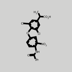 CC(C)C(=O)Nc1ccc(Oc2c(Cl)cc(C(C)C(=O)O)cc2Cl)cc1[N+](=O)[O-]